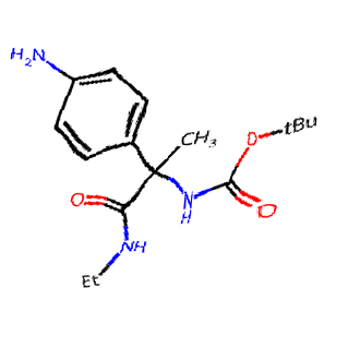 CCNC(=O)C(C)(NC(=O)OC(C)(C)C)c1ccc(N)cc1